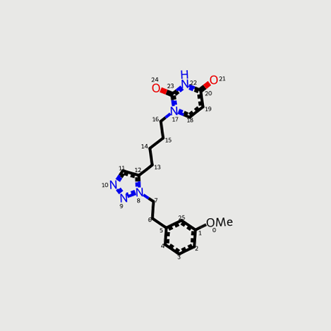 COc1cccc(CCn2nncc2CCCCn2ccc(=O)[nH]c2=O)c1